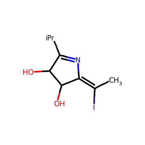 C/C(I)=C1\N=C(C(C)C)C(O)C1O